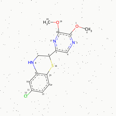 COc1ncc(C2CNc3cc(Cl)ccc3S2)nc1OC